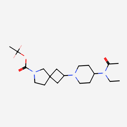 BC(B)(C)OC(=O)N1CCC2(CC(N3CCC(N(CC)C(C)=O)CC3)C2)C1